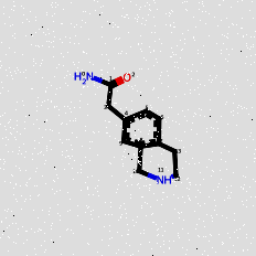 NC(=O)Cc1ccc2c(c1)CNCC2